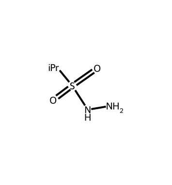 CC(C)S(=O)(=O)NN